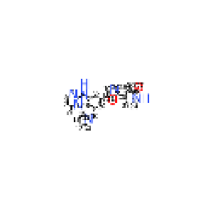 Cc1ccnc(Nc2cc(CN3CCCC3)cc(-c3cnc(C4CCNC(=O)C4(C)C)o3)c2)n1